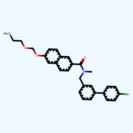 COCCOCOc1ccc2cc(C(=O)N(C)Cc3cccc(-c4ccc(Br)cc4)c3)ccc2c1